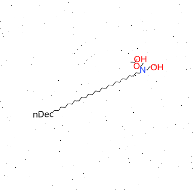 CCCCCCCCCCCCCCCCCCCCCCCCCCCCCCCCCCCCN(CCO)C(C)OC(C)O